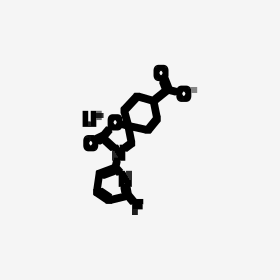 O=C([O-])C1CCC2(CC1)CN(c1cccc(F)n1)C(=O)O2.[Li+]